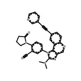 CN(C)c1nc2cnc3ccc(C#Cc4cccnc4)cc3c2n1-c1ccc(N2CCCC2=O)c(C#N)c1